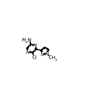 Cn1ccc(-c2nc(N)cnc2Cl)n1